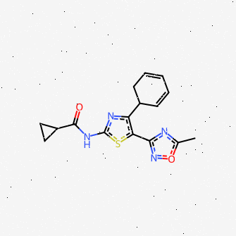 Cc1nc(-c2sc(NC(=O)C3CC3)nc2C2C=CC=CC2)no1